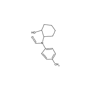 Cc1ccc(N([C]=O)C2CCCCC2O)cc1